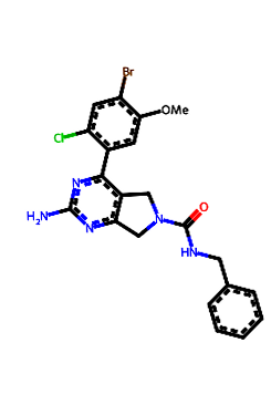 COc1cc(-c2nc(N)nc3c2CN(C(=O)NCc2ccccc2)C3)c(Cl)cc1Br